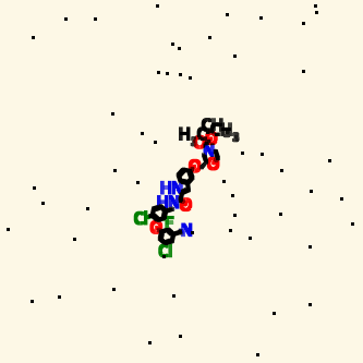 CC(C)(C)OC(=O)N1CCO[C@@H](COc2ccc3[nH]c(C(=O)NCc4ccc(Cl)c(Oc5cc(Cl)cc(C#N)c5)c4F)cc3c2)C1